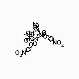 C[C@@H](O)[C@H]1C(=O)N2C(C(=O)OCc3ccc([N+](=O)[O-])cc3)=C(S[C@H]3C[C@@H](CN4CCn5nccc54)N(C(=O)OCc4ccc([N+](=O)[O-])cc4)C3)[C@H](C)[C@H]12